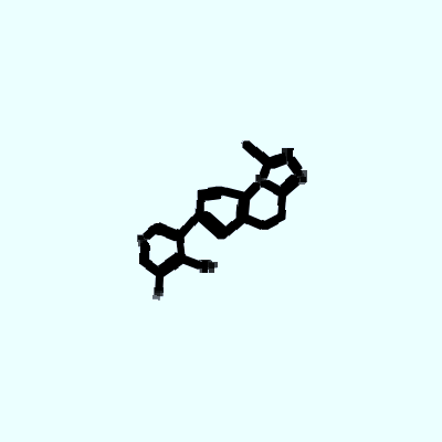 Cc1nnc2n1-c1ccc(-c3cncc(F)c3C(C)C)cc1CC2